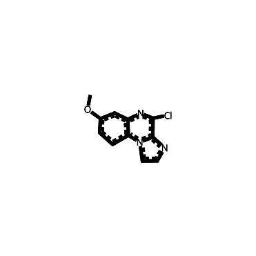 COc1ccc2c(c1)nc(Cl)c1nccn12